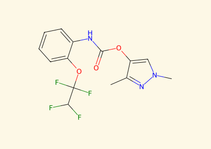 Cc1nn(C)cc1OC(=O)Nc1ccccc1OC(F)(F)C(F)F